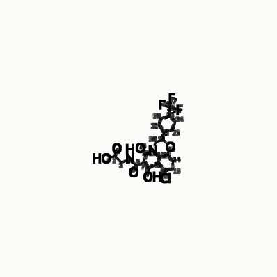 O=C(O)CNC(=O)c1c(O)c2c(Cl)ccc3c2n(c1=O)CC(c1ccc(C(F)(F)F)cc1)O3